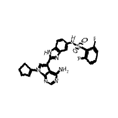 Nc1ncnc2c1c(-c1nc3cc(NS(=O)(=O)c4c(F)cccc4F)ccc3[nH]1)cn2C1CCCC1